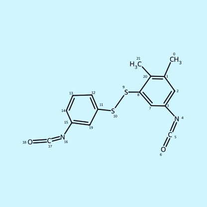 Cc1cc(N=C=O)cc(SSc2cccc(N=C=O)c2)c1C